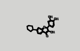 O=c1c(O)c(-c2ccc(O)c(O)c2)oc2cc(C3CCCCC3)ccc12